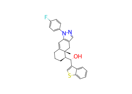 C[C@]12Cc3cnn(-c4ccc(F)cc4)c3C=C1CCC[C@@H]2[C@H](O)c1csc2ccccc12